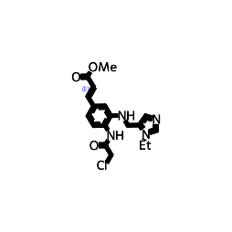 CCn1cncc1CNc1cc(/C=C/C(=O)OC)ccc1NC(=O)CCl